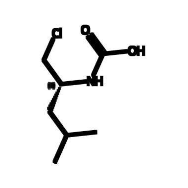 CC(C)C[C@H](CCl)NC(=O)O